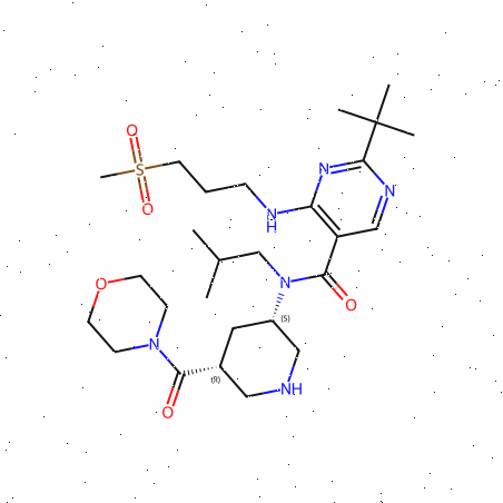 CC(C)CN(C(=O)c1cnc(C(C)(C)C)nc1NCCCS(C)(=O)=O)[C@@H]1CNC[C@H](C(=O)N2CCOCC2)C1